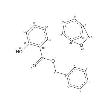 O=C(OCc1ccccc1)c1ccccc1O.c1cc2cc(c1)OC2